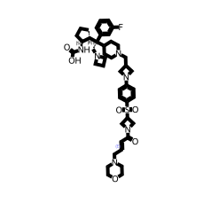 O=C(O)N[C@H]1CCC[C@@H]1[C@@](CN1CCC1)(c1cccc(F)c1)C1CCN(CC2CN(c3ccc(S(=O)(=O)C4CN(C(=O)/C=C/CN5CCOCC5)C4)cc3)C2)CC1